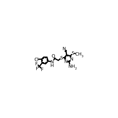 CSc1nc(N)nc(SCC(=O)Nc2ccc(Cl)c(C(F)(F)F)c2)c1C#N